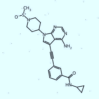 C[S+]([O-])N1CCC(n2cc(C#Cc3cccc(C(=O)NC4CC4)c3)c3c(N)ncnc32)CC1